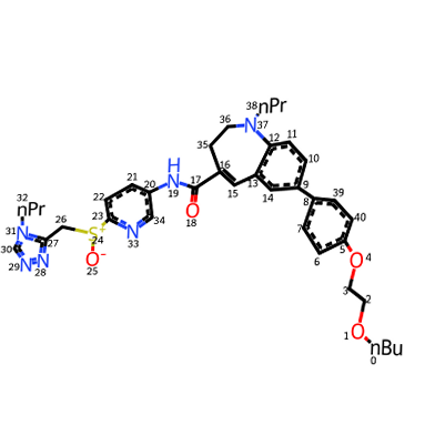 CCCCOCCOc1ccc(-c2ccc3c(c2)C=C(C(=O)Nc2ccc([S+]([O-])Cc4nncn4CCC)nc2)CCN3CCC)cc1